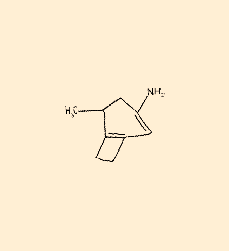 CC1CC(N)=CC2=C1CC2